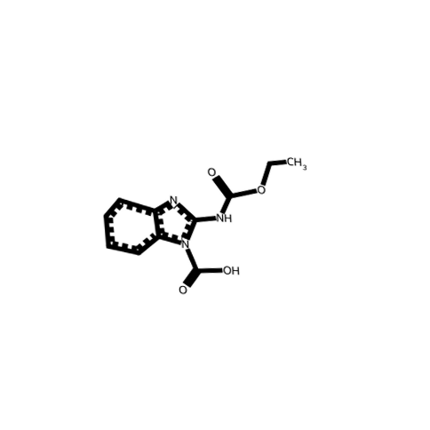 CCOC(=O)Nc1nc2ccccc2n1C(=O)O